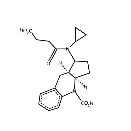 O=C(O)CCC(=O)N(C1CC1)C1CC[C@@H]2[C@H]1Cc1ccccc1N2C(=O)O